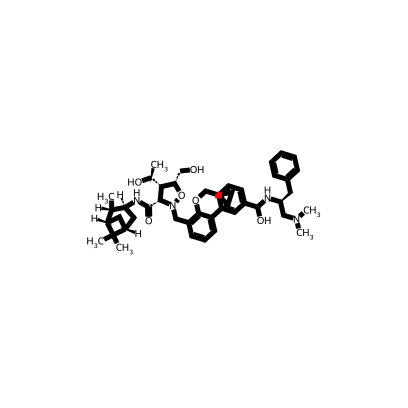 C[C@@H]1[C@@H](NC(=O)[C@@H]2[C@H]([C@H](C)O)[C@H](CO)ON2Cc2cccc(-c3cccc(C(O)N[C@@H](Cc4ccccc4)CN(C)C)c3)c2OCC2CC2)C[C@H]2C[C@@H]1C2(C)C